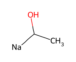 C[CH](O)[Na]